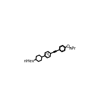 CCCCCCC1CCC(C23CCC(C#Cc4ccc(OCCC)cc4)(CC2)CC3)CC1